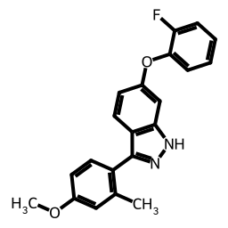 COc1ccc(-c2n[nH]c3cc(Oc4ccccc4F)ccc23)c(C)c1